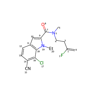 C=C(F)CCN(C)C(=O)c1cc2ccc(C#N)c(Cl)c2n1CC